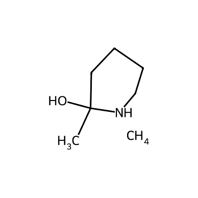 C.CC1(O)CCCCN1